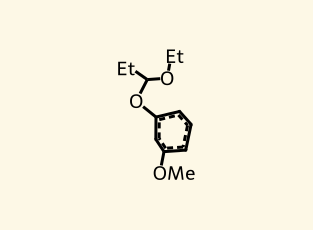 CCOC(CC)Oc1cccc(OC)c1